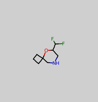 FC(F)C1CNCC2(CCC2)O1